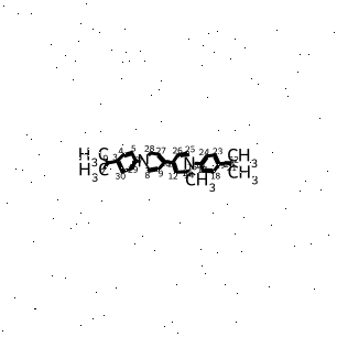 CC(C)c1ccc(N2C=CC(C3=CC(C)N(c4ccc(C(C)C)cc4)C=C3)=CC2)cc1